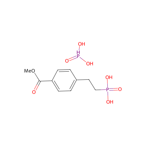 COC(=O)c1ccc(CCP(=O)(O)O)cc1.O=[PH](O)O